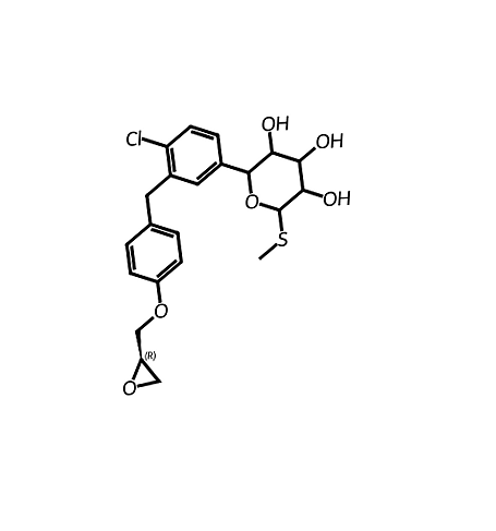 CSC1OC(c2ccc(Cl)c(Cc3ccc(OC[C@H]4CO4)cc3)c2)C(O)C(O)C1O